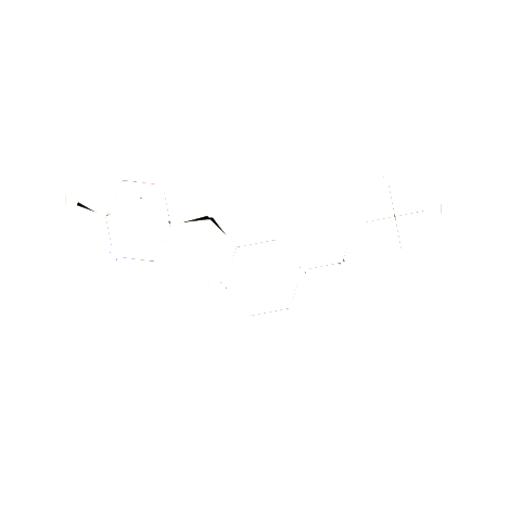 C[C@@H]1CN[C@@H](C[C@]23CN[C@H](CO2)C3)CN1C(=O)OC(C)(C)C